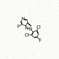 Fc1cc(Cl)c(-n2cc3cncc(F)c3n2)c(Cl)c1